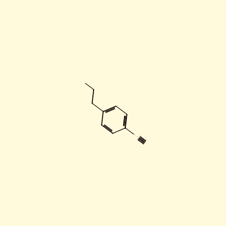 [C-]#[N+]c1ccc(CCC)cc1